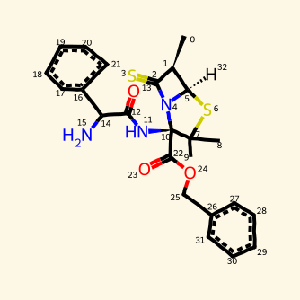 C[C@@H]1C(=S)N2[C@@H]1SC(C)(C)[C@]2(NC(=O)C(N)c1ccccc1)C(=O)OCc1ccccc1